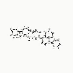 c1ccc2c(c1)-c1ccc(-c3ccc4c(c3)[nH]c3c4ccc4c5ccccc5sc43)c3c1C2CCC3